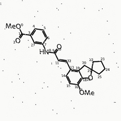 COC(=O)c1cccc(NC(=O)C=Cc2ccc(OC)c3c2CC2(CCCC2)O3)c1